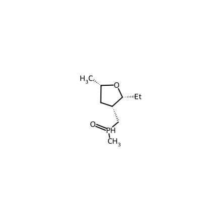 CC[C@H]1O[C@@H](C)C[C@H]1C[PH](C)=O